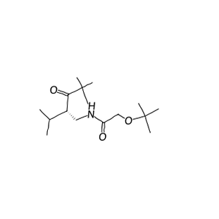 CC(C)[C@@H](CNC(=O)COC(C)(C)C)C(=O)C(C)(C)C